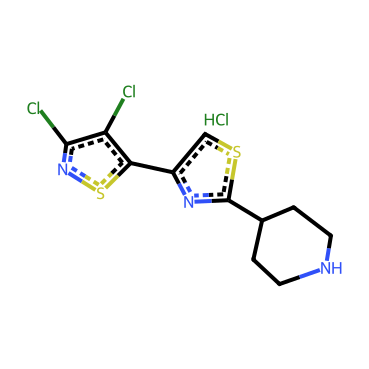 Cl.Clc1nsc(-c2csc(C3CCNCC3)n2)c1Cl